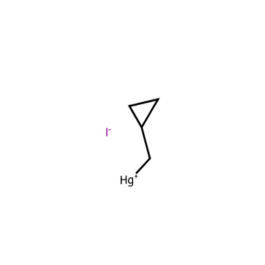 [Hg+][CH2]C1CC1.[I-]